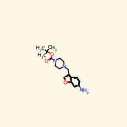 CC(C)(C)OC(=O)N1CCN(Cc2coc3cc(N)ccc23)CC1